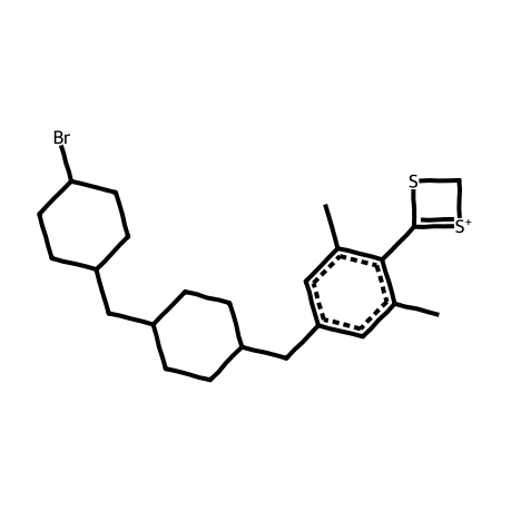 Cc1cc(CC2CCC(CC3CCC(Br)CC3)CC2)cc(C)c1C1=[S+]CS1